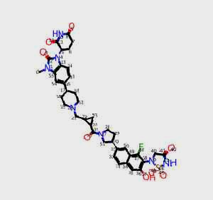 Cn1c(=O)n(C2CCC(=O)NC2=O)c2ccc(C3CCN(CC4CC4C(=O)N4CC[C@@H](c5ccc6cc(O)c(N7CC(=O)NS7(=O)=O)c(F)c6c5)C4)CC3)cc21